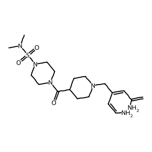 C=C(N)/C=C(\C=C/N)CN1CCC(C(=O)N2CCN(S(=O)(=O)N(C)C)CC2)CC1